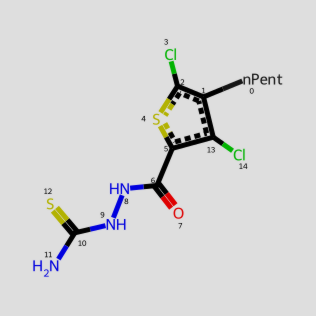 CCCCCc1c(Cl)sc(C(=O)NNC(N)=S)c1Cl